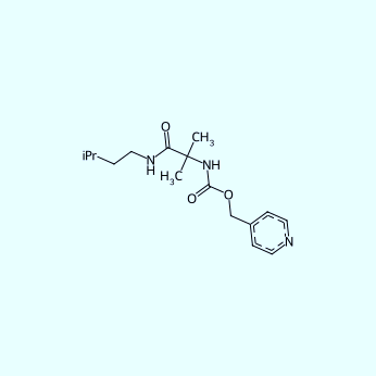 CC(C)CCNC(=O)C(C)(C)NC(=O)OCc1ccncc1